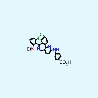 CCOc1cccc(F)c1C1=NCc2ccc(Nc3ccc(C(=O)O)cc3)nc2-c2ccc(Cl)cc21